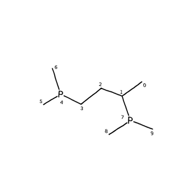 CC(CCP(C)C)P(C)C